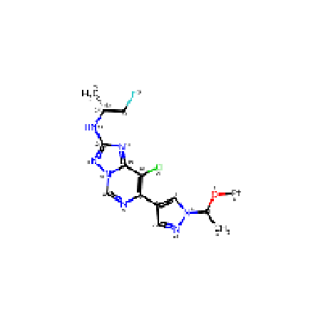 CCOC(C)n1cc(-c2ncn3nc(N[C@H](C)CF)nc3c2Cl)cn1